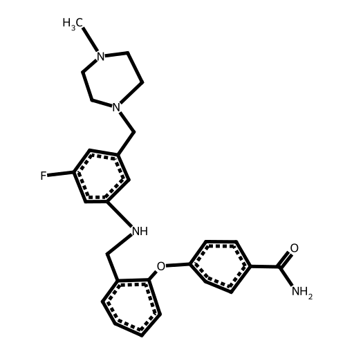 CN1CCN(Cc2cc(F)cc(NCc3ccccc3Oc3ccc(C(N)=O)cc3)c2)CC1